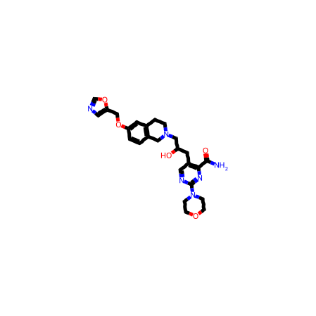 NC(=O)c1nc(N2CCOCC2)ncc1CC(O)CN1CCc2cc(OCc3cnco3)ccc2C1